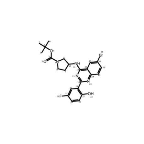 CC(C)(C)OC(=O)N1CCC(Nc2nc(-c3cc(F)ccc3O)nc3ccc(Br)cc23)C1